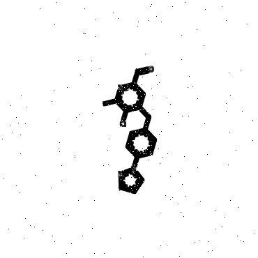 Cc1nc(C=O)cc(Cc2ccc(-n3cccn3)cc2)c1Cl